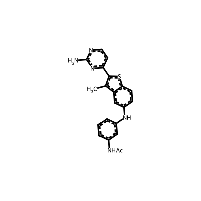 CC(=O)Nc1cccc(Nc2ccc3sc(-c4ccnc(N)n4)c(C)c3c2)c1